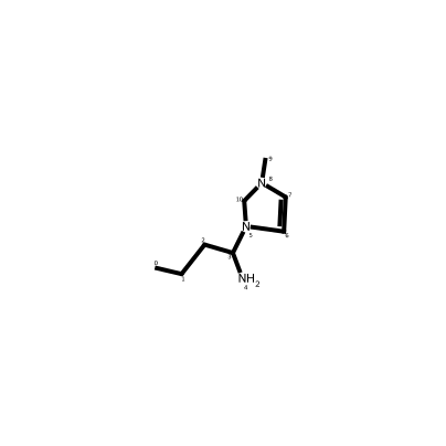 CCCC(N)N1C=CN(C)C1